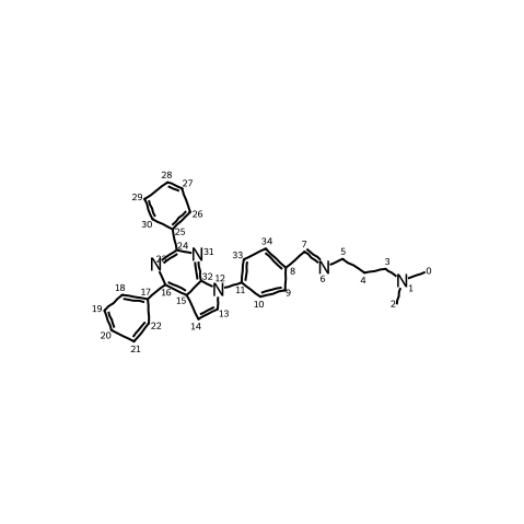 CN(C)CCCN=Cc1ccc(-n2ccc3c(-c4ccccc4)nc(-c4ccccc4)nc32)cc1